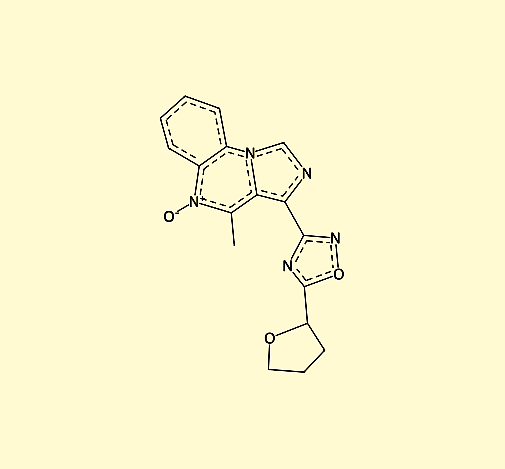 Cc1c2c(-c3noc(C4CCCO4)n3)ncn2c2ccccc2[n+]1[O-]